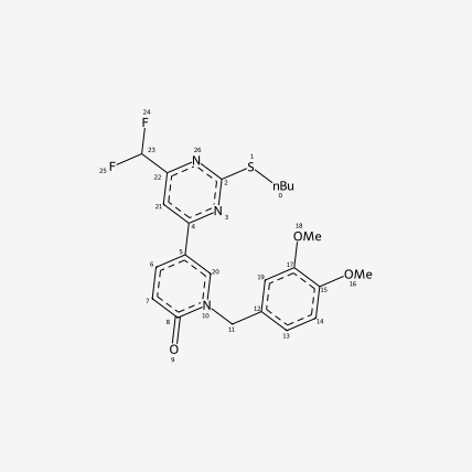 CCCCSc1nc(-c2ccc(=O)n(Cc3ccc(OC)c(OC)c3)c2)cc(C(F)F)n1